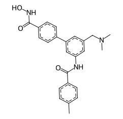 Cc1ccc(C(=O)Nc2cc(CN(C)C)cc(-c3ccc(C(=O)NO)cc3)c2)cc1